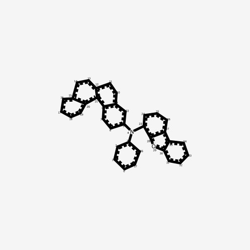 c1ccc(N(c2ccc3c(ccc4ccc5ccccc5c43)c2)c2cccc3c2oc2ccccc23)cc1